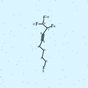 FCCCCC#CC(F)C(F)F